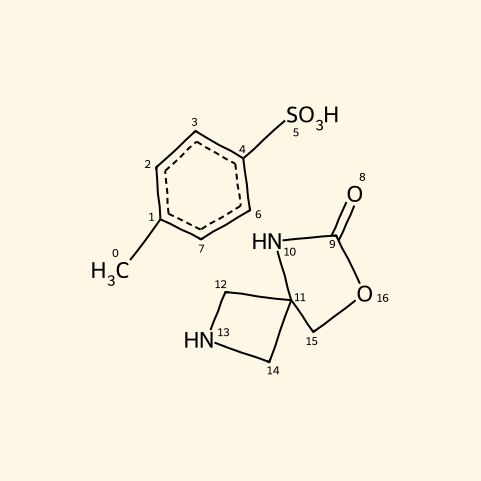 Cc1ccc(S(=O)(=O)O)cc1.O=C1NC2(CNC2)CO1